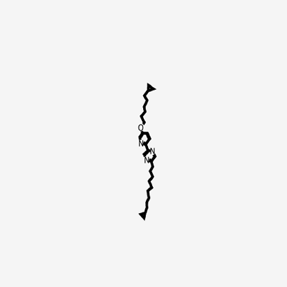 c1cc(-c2cnc(CCCCCCCCCC3CC3)cn2)ncc1OCCCCCCC1CC1